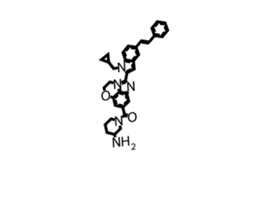 NC1CCCN(C(=O)c2cc3c4c(c2)nc(-c2cc5cc(C=Cc6ccccc6)ccc5n2CC2CC2)n4CCO3)C1